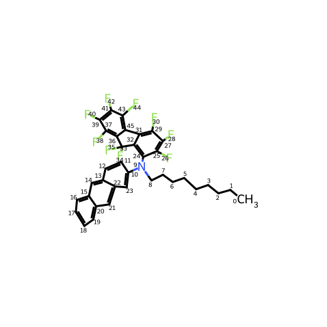 CCCCCCCCCN(c1ccc2cc3ccccc3cc2c1)c1c(F)c(F)c(F)c2c1C(F)(F)c1c(F)c(F)c(F)c(F)c1-2